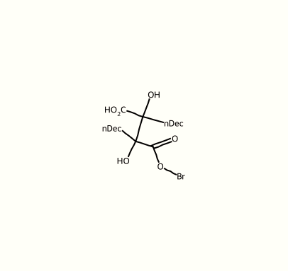 CCCCCCCCCCC(O)(C(=O)O)C(O)(CCCCCCCCCC)C(=O)OBr